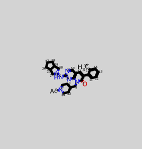 CC(=O)N1CCC(Cn2c(=O)c(-c3ccccc3C)cc3cnc(NN4CC5CCCC5C4)nc32)CC1